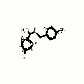 CC(NCc1ccc(C(F)(F)F)cn1)c1ncc(F)cn1